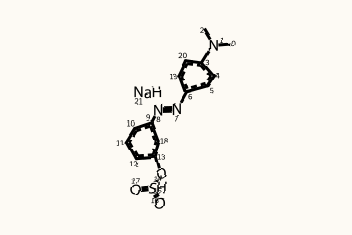 CN(C)c1ccc(N=Nc2cccc(O[SH](=O)=O)c2)cc1.[NaH]